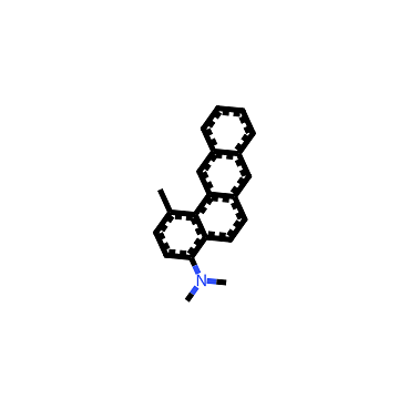 Cc1ccc(N(C)C)c2ccc3cc4ccccc4cc3c12